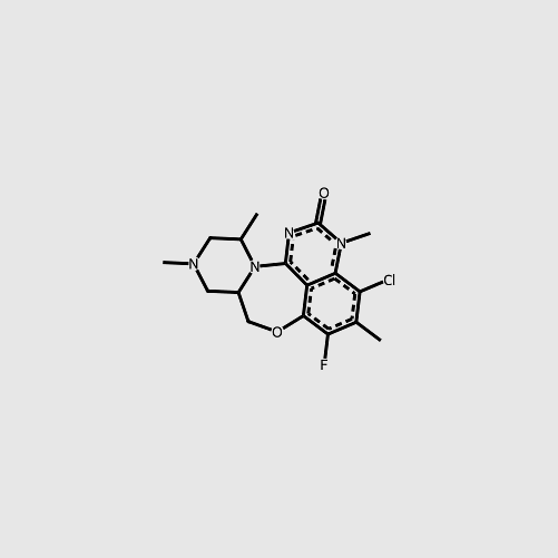 Cc1c(F)c2c3c(nc(=O)n(C)c3c1Cl)N1C(C)CN(C)CC1CO2